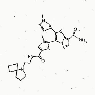 Cc1cc(C(=O)NCCN2CCCC23CCC3)sc1-c1c(-c2cnn(C)c2)sc2c(C(N)=O)cnn12